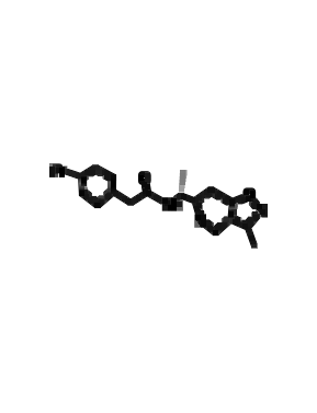 Cc1noc2cc([C@@H](C)NC(=O)Cc3ccc(C(C)C)cc3)ncc12